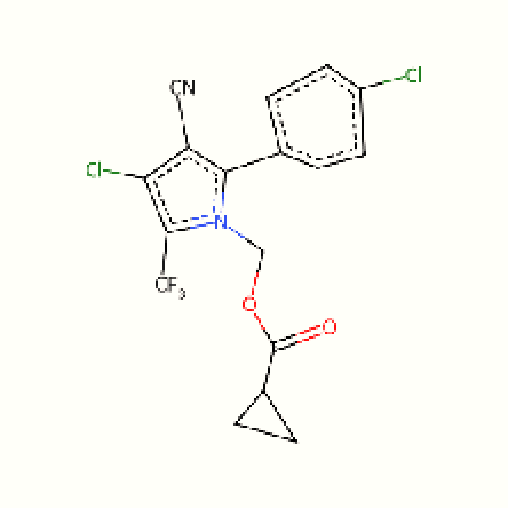 N#Cc1c(Cl)c(C(F)(F)F)n(COC(=O)C2CC2)c1-c1ccc(Cl)cc1